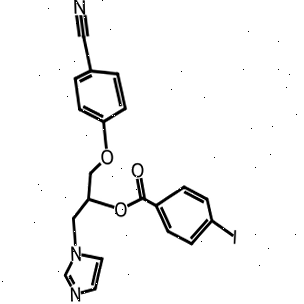 N#Cc1ccc(OCC(Cn2ccnc2)OC(=O)c2ccc(I)cc2)cc1